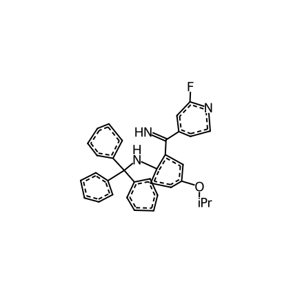 CC(C)Oc1ccc(NC(c2ccccc2)(c2ccccc2)c2ccccc2)c(C(=N)c2ccnc(F)c2)c1